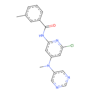 Cc1cccc(C(=O)Nc2cc(N(C)c3cncnc3)cc(Cl)n2)c1